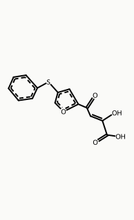 O=C(O)/C(O)=C/C(=O)c1cc(Sc2ccccc2)co1